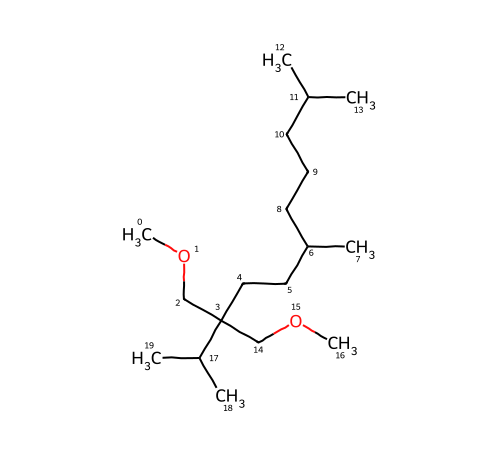 COCC(CCC(C)CCCC(C)C)(COC)C(C)C